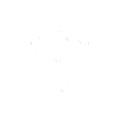 Cc1ccc(C(=O)Nc2cc(C(=O)N3CCN(C)CC3)cc(C(F)(F)F)c2)cc1I